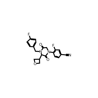 N#Cc1ccc(N2CC(=O)N(Cc3ccc(F)cc3)C(C3COC3)C2=O)c(F)c1